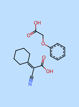 N#CC(C(=O)O)=C1CCCCC1.O=C(O)COc1ccccc1